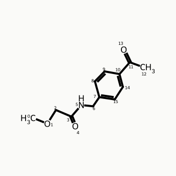 COCC(=O)NCc1ccc(C(C)=O)cc1